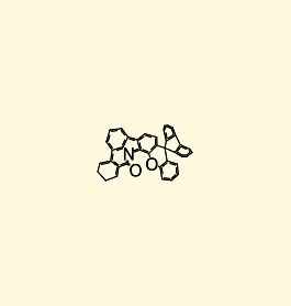 O=c1c2c(c3cccc4c5ccc6c(c5n1c34)Oc1ccccc1C61c3ccccc3-c3ccccc31)=CCCC=2